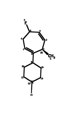 C[C@@H]1C=CC(F)CC=C1C1CCN(I)CC1